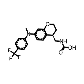 CN(c1ccc(C(F)(F)F)cc1)c1ccc2c(c1)OCC[C@H]2CNC(=O)O